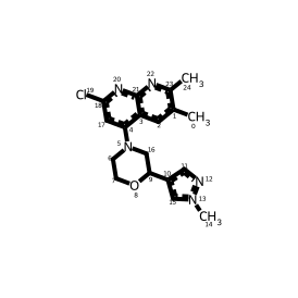 Cc1cc2c(N3CCOC(c4cnn(C)c4)C3)cc(Cl)nc2nc1C